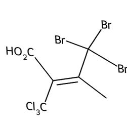 CC(=C(C(=O)O)C(Cl)(Cl)Cl)C(Br)(Br)Br